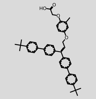 Cc1cc(OCC=C(c2ccc(-c3ccc(C(C)(C)C)cc3)cc2)c2ccc(-c3ccc(C(C)(C)C)cc3)cc2)ccc1OCC(=O)O